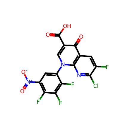 O=C(O)c1cn(-c2cc([N+](=O)[O-])c(F)c(F)c2F)c2nc(Cl)c(F)cc2c1=O